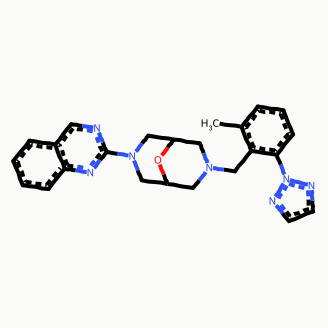 Cc1cccc(-n2nccn2)c1CN1CC2CN(c3ncc4ccccc4n3)CC(C1)O2